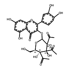 CC(=O)[C@]1(O)[C@@](O)(C(C)=O)[C@@H](CO)OC(Oc2c(-c3ccc(O)c(O)c3)oc3cc(O)cc(O)c3c2=O)[C@@]1(O)C(C)=O